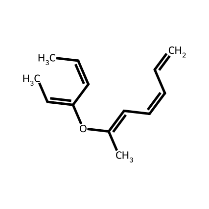 C=C/C=C\C=C(/C)OC(/C=C\C)=C/C